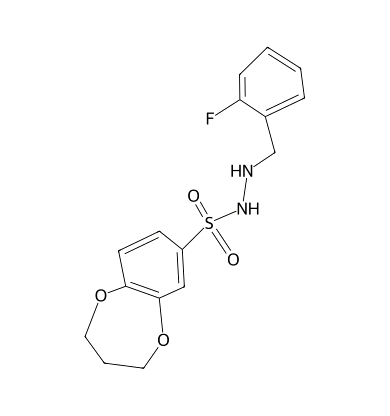 O=S(=O)(NNCc1ccccc1F)c1ccc2c(c1)OCCCO2